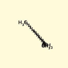 CCCCCCCCCCCCCCCCCCCCCCP(CC)CC